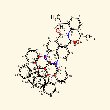 CC(C)c1cccc(C(C)C)c1N1C(=O)c2ccc(N3c4ccccc4C(c4ccccc4)(c4ccccc4)c4ccccc43)c3c(N4c5ccccc5C(c5ccccc5)(c5ccccc5)c5ccccc54)ccc(c23)C1=O